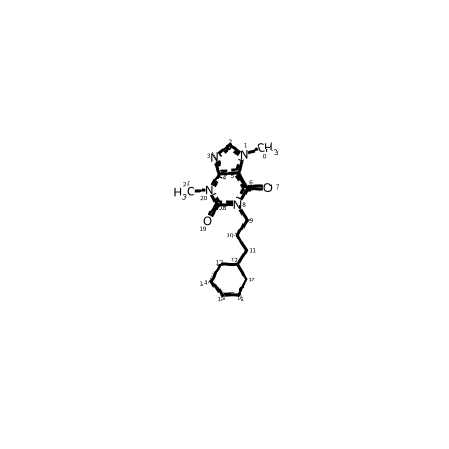 Cn1cnc2c1c(=O)n(CCCC1CCCCC1)c(=O)n2C